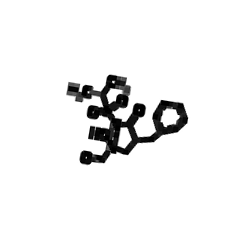 CC(C)S(=O)(=O)NC(=O)C(Cc1ccccc1)CN(O)C=O